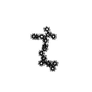 c1ccc(-c2cc(-n3c4ccc(-c5cn6ccccc6n5)cc4c4cc(-c5cn6cc(-c7cccc(-c8cc9c%10ccccc%10n(-c%10cnc(-n%11c%12ccccc%12c%12ccccc%12%11)nc%10)c9cn8)c7)ccc6n5)ccc43)cc(-c3ccccc3)n2)cc1